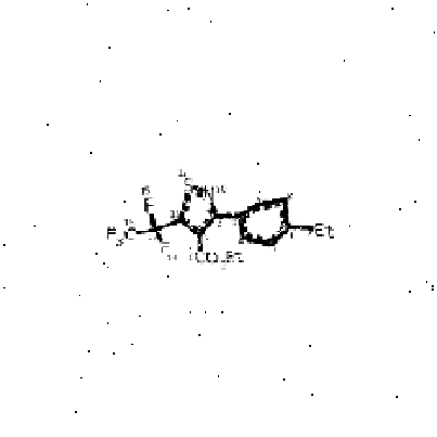 CCOC(=O)c1c(-c2ccc(CC)cc2)nsc1C(F)(F)C(F)(F)F